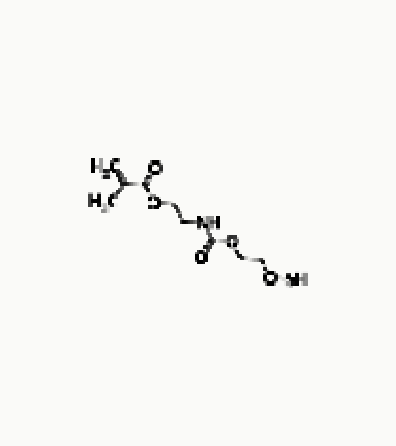 C=C(C)C(=O)OCCNC(=O)OCCOS